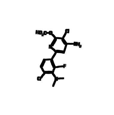 CN(C)c1c(Cl)ccc(-c2cc(N)c(Cl)c(OC(=O)O)n2)c1F